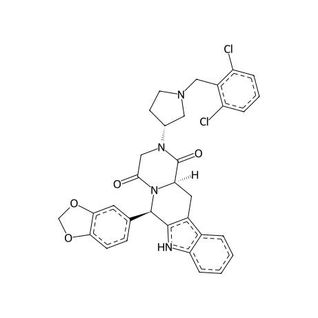 O=C1[C@H]2Cc3c([nH]c4ccccc34)[C@@H](c3ccc4c(c3)OCO4)N2C(=O)CN1[C@@H]1CCN(Cc2c(Cl)cccc2Cl)C1